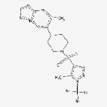 [2H]C([2H])([2H])n1ncc(S(=O)(=O)N2CCC(c3cn4ncnc4cc3C)CC2)c1C